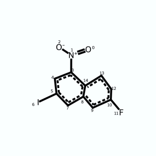 O=[N+]([O-])c1cc(I)cc2cc(F)ccc12